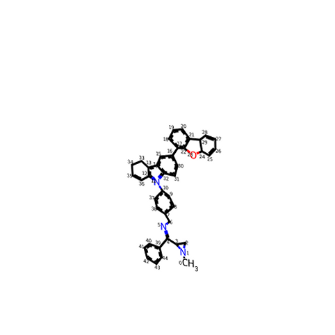 C[N@]1CC1/C(=N\Cc1ccc(-n2c3c(c4cc(-c5cccc6c5OC5C=CC=CC65)ccc42)CCC=C3)cc1)c1ccccc1